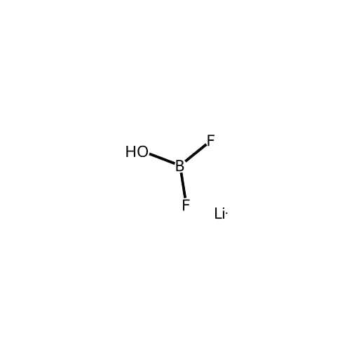 OB(F)F.[Li]